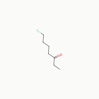 CCC(=O)CCCCF